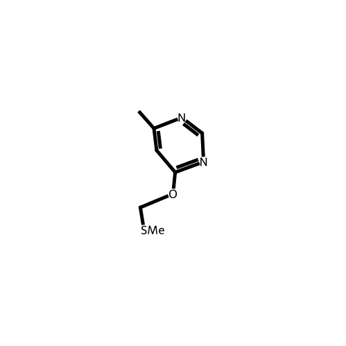 CSCOc1cc(C)ncn1